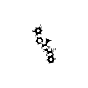 O=C(N[C@H](C(=O)N1CCC(Oc2ccc(F)cc2F)CC1)C1CC1)c1nc2ccccc2nc1O